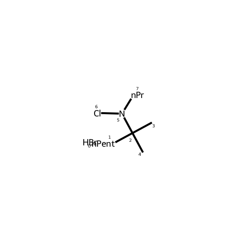 Br.CCCCCC(C)(C)N(Cl)CCC